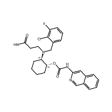 [NH]C(=O)CCN(Cc1cccc(F)c1Cl)[C@@H]1CCCC[C@H]1OC(=O)Nc1cc2ccccc2cn1